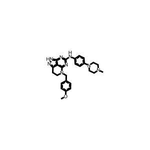 COc1ccc(CN2CCc3n[nH]c4nc(Nc5ccc(N6CCN(C)CC6)cc5)nc2c34)cc1